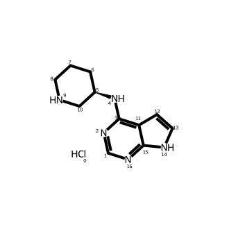 Cl.c1nc(N[C@@H]2CCCNC2)c2cc[nH]c2n1